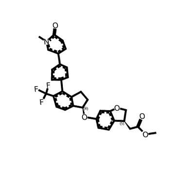 COC(=O)C[C@@H]1COc2cc(O[C@@H]3CCc4c3ccc(C(F)(F)F)c4-c3ccc(-c4ccc(=O)n(C)c4)cc3)ccc21